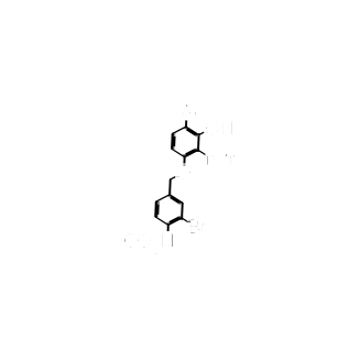 CCCc1c(OCc2ccc(C(=O)O)c(Br)c2)ccc(C(C)=O)c1O